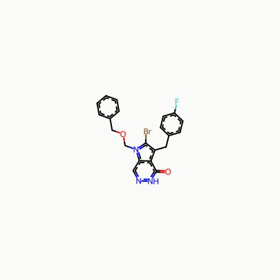 O=c1[nH]ncc2c1c(Cc1ccc(F)cc1)c(Br)n2COCc1ccccc1